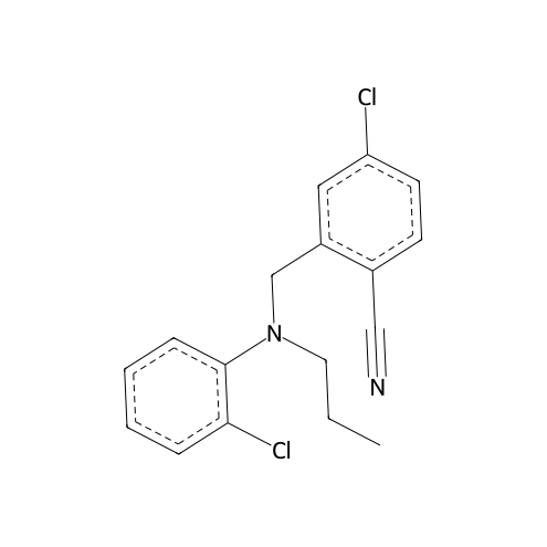 CCCN(Cc1cc(Cl)ccc1C#N)c1ccccc1Cl